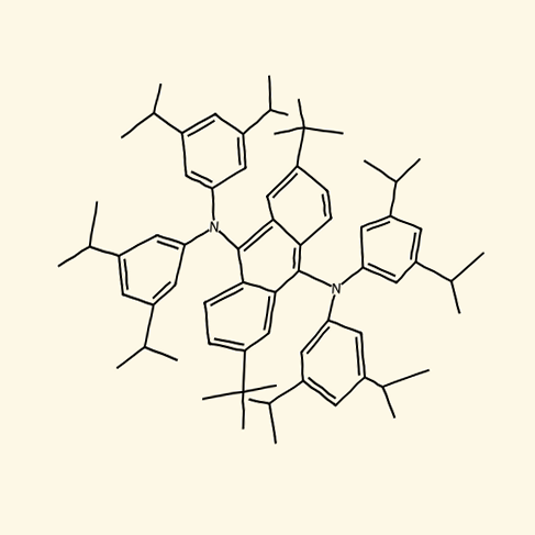 CC(C)c1cc(C(C)C)cc(N(c2cc(C(C)C)cc(C(C)C)c2)c2c3ccc(C(C)(C)C)cc3c(N(c3cc(C(C)C)cc(C(C)C)c3)c3cc(C(C)C)cc(C(C)C)c3)c3ccc(C(C)(C)C)cc23)c1